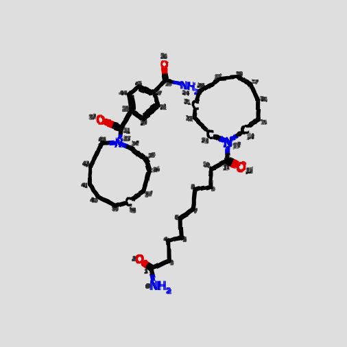 NC(=O)CCCCCCCCC(=O)N1CCCCCCCCCC1.NC(=O)c1ccc(C(=O)N2CCCCCCCCCC2)cc1